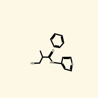 CC(CS)C(=O)Nc1ccncc1.c1ccccc1